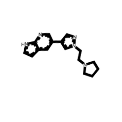 c1cc2cc(-c3cnn(CCN4CCCC4)c3)cnc2[nH]1